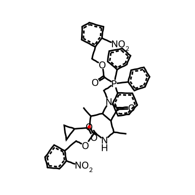 CC(NC(=O)OCc1ccccc1[N+](=O)[O-])C1C(=O)N(CP(C(=O)OCc2ccccc2[N+](=O)[O-])(c2ccccc2)(c2ccccc2)c2ccccc2)C1C(C)C(=O)C1CC1